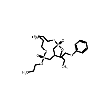 CCCOP(=O)(CC(CCOc1ccccc1)CP(=O)(OCCC)OCCC)OCCC